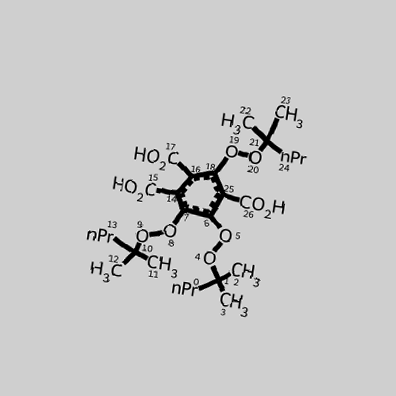 CCCC(C)(C)OOc1c(OOC(C)(C)CCC)c(C(=O)O)c(C(=O)O)c(OOC(C)(C)CCC)c1C(=O)O